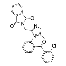 Cc1cnc(CN2C(=O)c3ccccc3C2=O)n1-c1ccccc1C(=O)c1ccccc1Cl